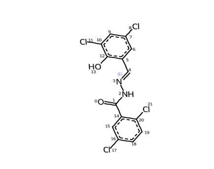 O=C(N/N=C/c1cc(Cl)cc(Cl)c1O)c1cc(Cl)ccc1Cl